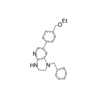 CCOCc1ccc(-c2cnc3c(c2)N(Cc2ccccc2)CCN3)cc1